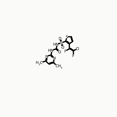 Cc1cc(C)nc(NC(=O)NS(=O)(=O)c2sccc2C(F)=C(F)Cl)n1